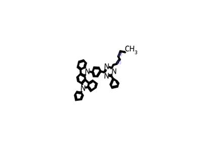 CC/C=C\C=C/Cc1nc(-c2ccccc2)nc(-c2ccc(-n3c4ccccc4c4ccc5c(c6ccccc6n5-c5ccccc5)c43)cc2)n1